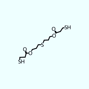 O=C(CCS)OCCCSCCCOC(=O)CCS